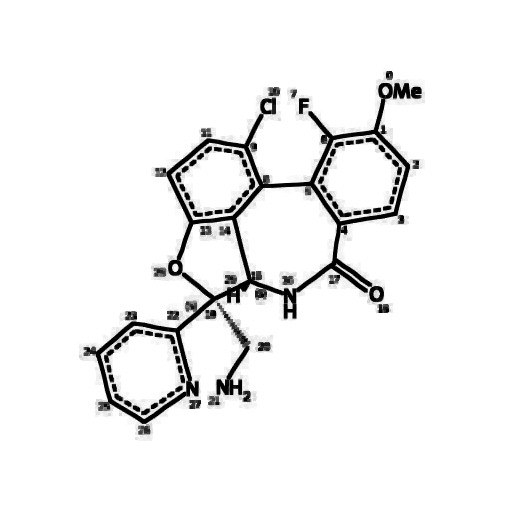 COc1ccc2c(c1F)-c1c(Cl)ccc3c1[C@H](NC2=O)[C@@](CN)(c1ccccn1)O3